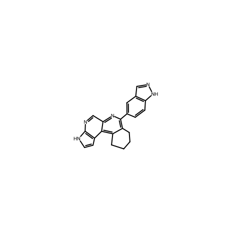 c1cc2c(ncc3nc(-c4ccc5[nH]ncc5c4)c4c(c32)CCCC4)[nH]1